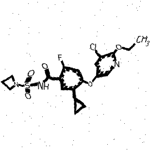 CCOc1ncc(Oc2cc(F)c(C(=O)NS(=O)(=O)N3CCC3)cc2C2CC2)cc1Cl